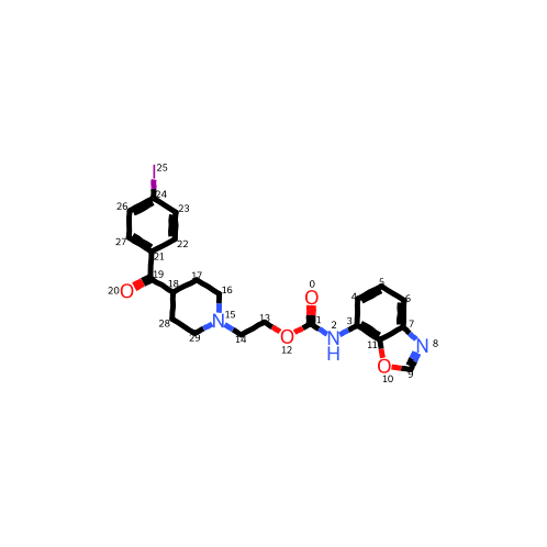 O=C(Nc1cccc2ncoc12)OCCN1CCC(C(=O)c2ccc(I)cc2)CC1